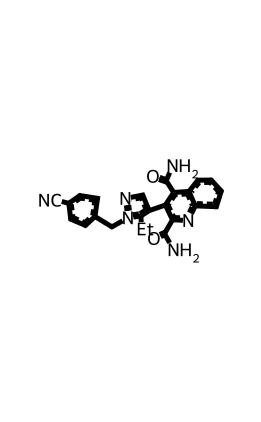 CCc1c(-c2c(C(N)=O)nc3ccccc3c2C(N)=O)cnn1Cc1ccc(C#N)cc1